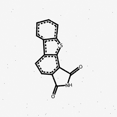 O=C1NC(=O)c2c1ccc1c2sc2ccccc21